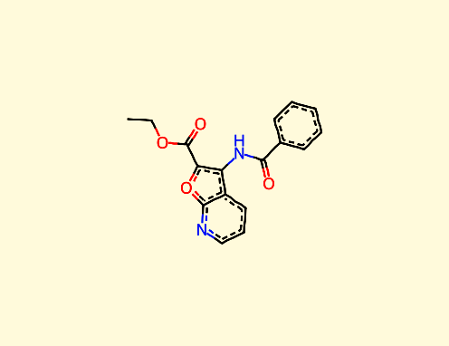 CCOC(=O)c1oc2ncccc2c1NC(=O)c1ccccc1